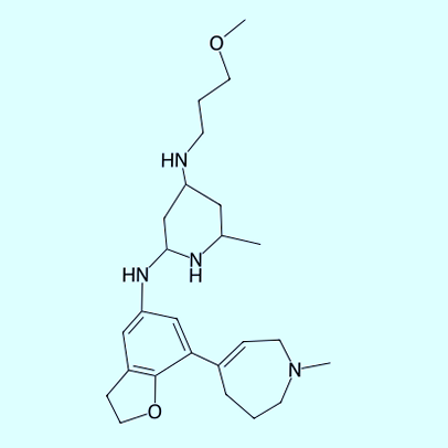 COCCCNC1CC(C)NC(Nc2cc3c(c(C4=CCN(C)CCC4)c2)OCC3)C1